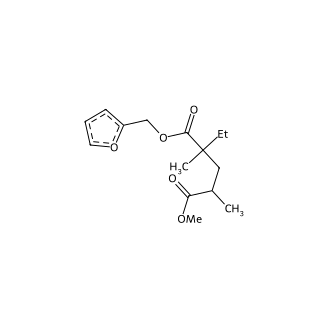 CCC(C)(CC(C)C(=O)OC)C(=O)OCc1ccco1